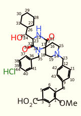 COc1cc(C(=O)O)ccc1Cc1ccc(CN2CCC3(CC2)C(=O)N[C@H]([C@H](O)C2CCCCC2)C(=O)N3Cc2ccccc2)cc1.Cl